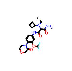 CC(C)CN(C1CCC1)[C@@H](C(N)=O)C(=O)Nc1ccc(N2CCOCC2=O)c(OC(F)F)c1